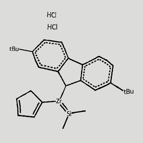 C[Si](C)=[Zr]([C]1=CC=CC1)[CH]1c2cc(C(C)(C)C)ccc2-c2ccc(C(C)(C)C)cc21.Cl.Cl